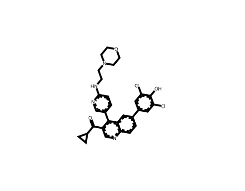 O=C(c1cnc2ccc(-c3cc(Cl)c(O)c(Cl)c3)cc2c1-c1ccc(NCCN2CCOCC2)nc1)C1CC1